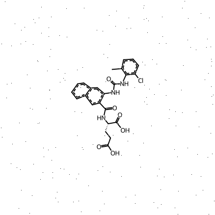 Cc1cccc(Cl)c1NC(=O)Nc1cc2ccccc2cc1C(=O)N[C@@H](CCC(=O)O)C(=O)O